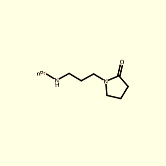 CCCNCCCN1CCCC1=O